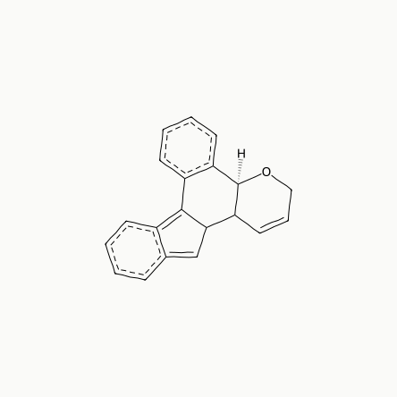 C1=CC2C3C=c4ccccc4=C3c3ccccc3[C@H]2OC1